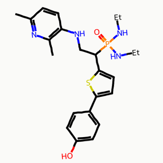 CCNP(=O)(NCC)C(CNc1ccc(C)nc1C)c1ccc(-c2ccc(O)cc2)s1